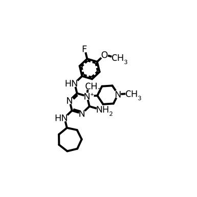 COc1ccc(NC2=NC(NC3CCCCCC3)=NC(N)[N+]2(C)C2CCN(C)CC2)cc1F